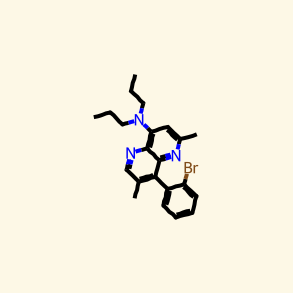 CCCN(CCC)c1cc(C)nc2c(-c3ccccc3Br)c(C)cnc12